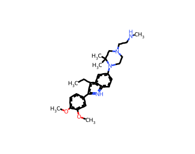 CCc1c(-c2ccc(OC)c(OC)c2)[nH]c2ccc(N3CCN(CCNC)CC3(C)C)cc12